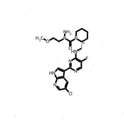 COCCN(N)C(=O)N1CCCC[C@@H]1CNc1nc(-c2c[nH]c3ncc(Cl)cc23)ncc1F